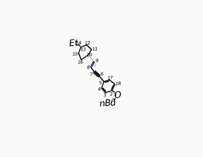 CCCCOc1ccc(C#C/C=C/[C@H]2CC[C@H](CC)CC2)cc1